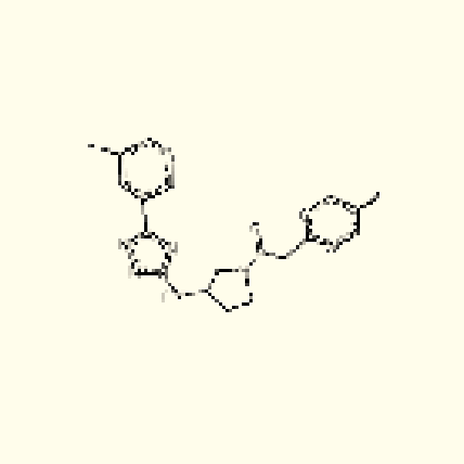 Cc1cnc(CC(=O)N2CCC(Nn3nnc(-c4cncc(C)c4)n3)C2)nc1